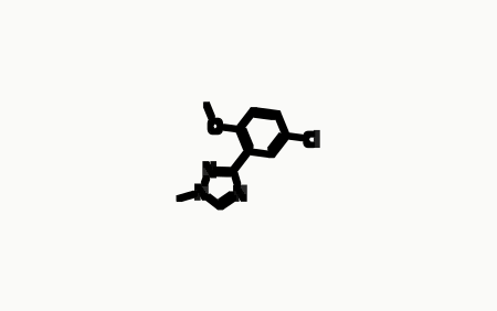 COc1ccc(Cl)cc1-c1ncn(C)n1